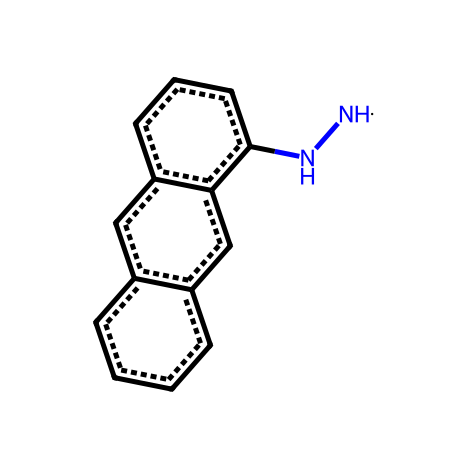 [NH]Nc1cccc2cc3ccccc3cc12